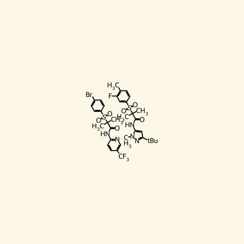 CC(C)(C(=O)Nc1ccc(C(F)(F)F)cn1)S(=O)(=O)c1ccc(Br)cc1.Cc1ccc(S(=O)(=O)C(C)(C)C(=O)Nc2cc(C(C)(C)C)nn2C)cc1F